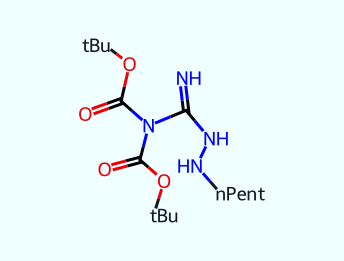 CCCCCNNC(=N)N(C(=O)OC(C)(C)C)C(=O)OC(C)(C)C